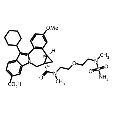 COc1ccc2c(c1)[C@H]1C[C@@]1(C(=O)N(C)CCOCCN(C)S(N)(=O)=O)Cn1c-2c(C2CCCCC2)c2ccc(C(=O)O)cc21